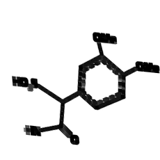 COc1ccc(C(C([NH])=O)S(=O)(=O)O)cc1OC